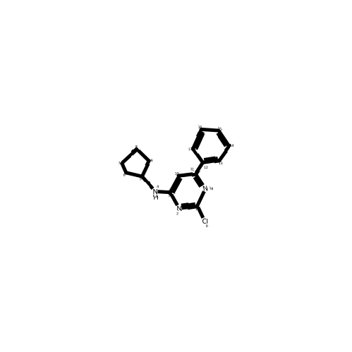 Clc1nc(NC2CCCC2)cc(-c2ccccc2)n1